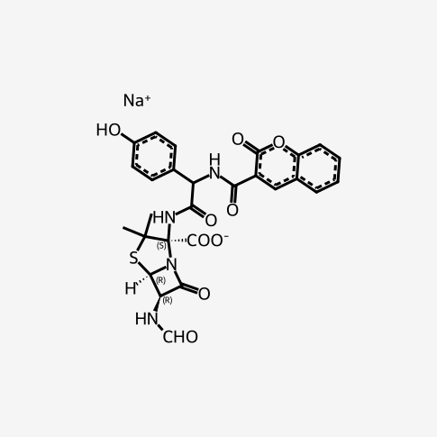 CC1(C)S[C@@H]2[C@H](NC=O)C(=O)N2[C@@]1(NC(=O)C(NC(=O)c1cc2ccccc2oc1=O)c1ccc(O)cc1)C(=O)[O-].[Na+]